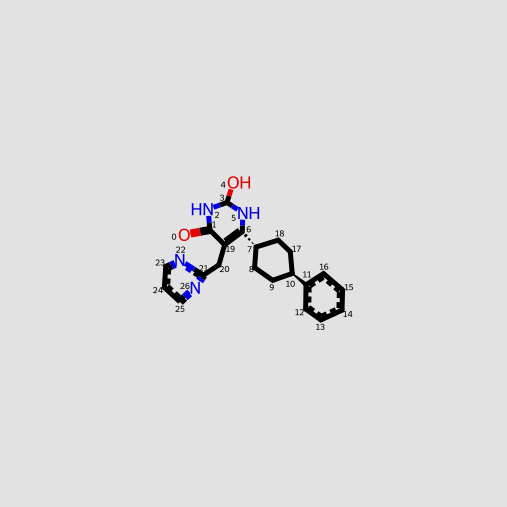 O=C1NC(O)NC([C@H]2CC[C@H](c3ccccc3)CC2)=C1Cc1ncccn1